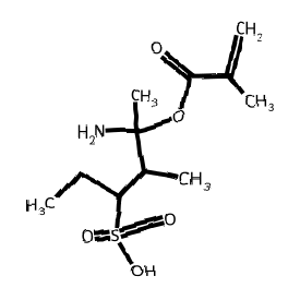 C=C(C)C(=O)OC(C)(N)C(C)C(CC)S(=O)(=O)O